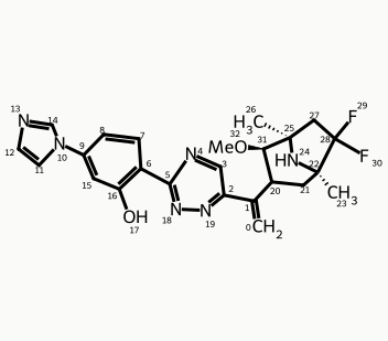 C=C(c1cnc(-c2ccc(-n3ccnc3)cc2O)nn1)C1C[C@@]2(C)N[C@](C)(CC2(F)F)[C@@H]1OC